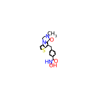 CN1CCn2c(c(Cc3ccc(C(=O)NO)cc3)c3sccc32)C1=O